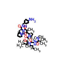 CCCCN(C(=O)CNC(=O)[C@H](C(C)C)N(C)C)[C@@H]([C@@H](C)CC)[C@@H](CC(=O)N1CCC[C@H]1[C@H](OC)[C@@H](C)C(=O)N[C@@H](Cc1ccccn1)C(=O)NCc1ccc(N)cc1)OC